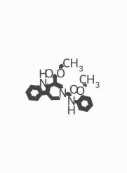 CCOC(=O)C1=CN(C(=O)Nc2ccccc2OCC)CCc2c1[nH]c1ccccc21